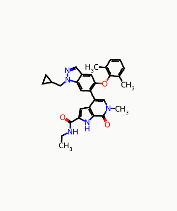 CCNC(=O)c1cc2c(-c3cc4c(cnn4CC4CC4)cc3Oc3c(C)cccc3C)cn(C)c(=O)c2[nH]1